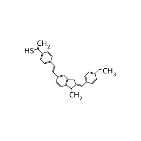 C=C(S)c1ccc(C=Cc2ccc3c(c2)C/C(=C\c2ccc(CC)cc2)C3=C)cc1